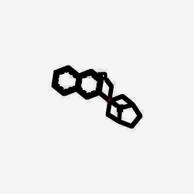 OCCN1C2CCC1CC(c1ccc3ccccc3c1)C2